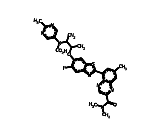 Cc1cc(-c2nc3cc(F)c(OC(C)C(C)N(C(=O)O)c4cnc(C)nc4)cc3s2)c2ncc(C(=O)N(C)C)nc2c1